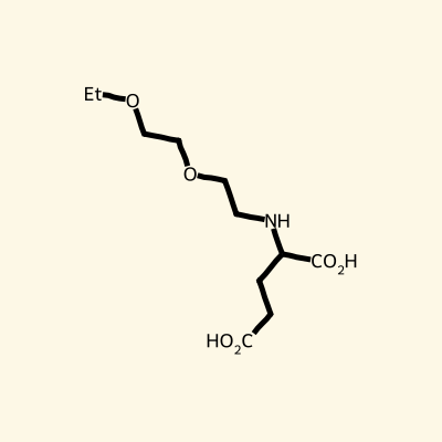 CCOCCOCCNC(CCC(=O)O)C(=O)O